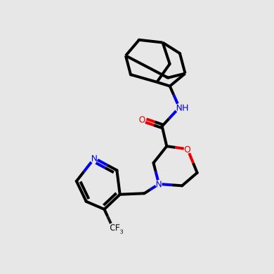 O=C(NC1C2CC3CC(C2)CC1C3)C1CN(Cc2cnccc2C(F)(F)F)CCO1